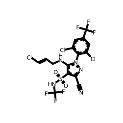 N#Cc1nn(-c2c(Cl)cc(C(F)(F)F)cc2Cl)c(NC/C=C/Cl)c1S(=O)(=O)NC(F)(F)F